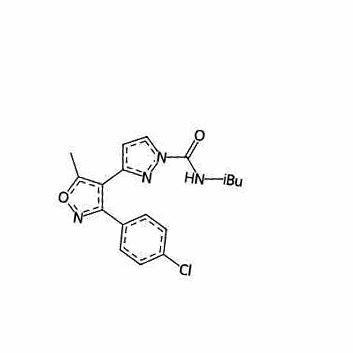 CCC(C)NC(=O)n1ccc(-c2c(-c3ccc(Cl)cc3)noc2C)n1